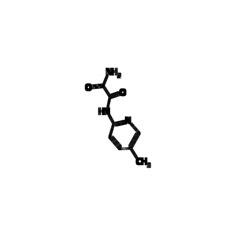 Cc1ccc(NC(=O)C(N)=O)nc1